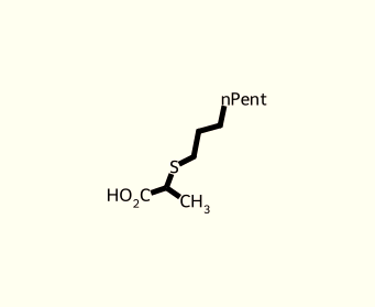 CCCCCCCCSC(C)C(=O)O